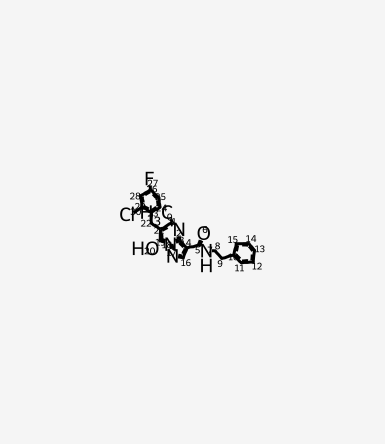 Cc1nc2c(C(=O)NCCc3ccccc3)cnn2c(O)c1Cc1ccc(F)cc1Cl